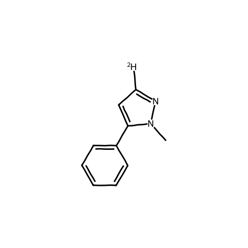 [2H]c1cc(-c2ccccc2)n(C)n1